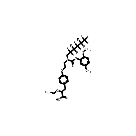 CCOC(Cc1ccc(OCCN(CC(F)(F)C(F)(F)C(F)(F)C(F)(F)C(F)(F)F)C(=O)Oc2cc(C)ccc2OC)cc1)C(=O)O